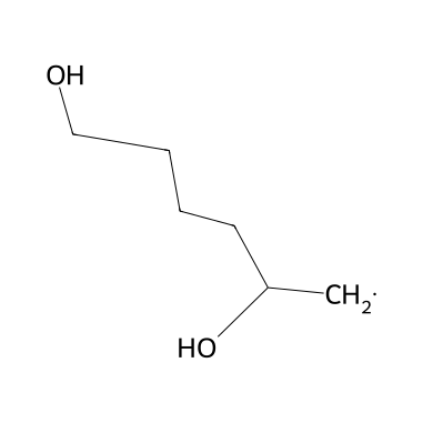 [CH2]C(O)CCCCO